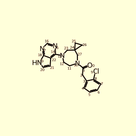 O=C(Cc1ccccc1Cl)N1CCN(c2ncnc3[nH]ccc23)CC2(CC2)C1